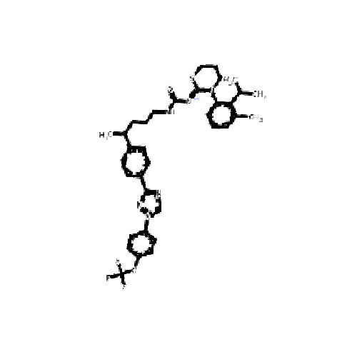 Cc1cccc(N2CCCS/C2=N\C(=O)NCCCC(C)c2ccc(-c3ncn(-c4ccc(OC(F)(F)F)cc4)n3)cc2)c1C(C)C